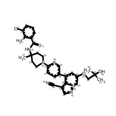 Cc1c(Cl)cccc1C(=O)NC1(C)CCN(c2ccc(-c3cc(OCC(C)(C)O)cn4ncc(C#N)c34)cn2)CC1